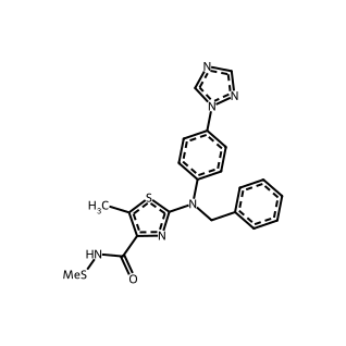 CSNC(=O)c1nc(N(Cc2ccccc2)c2ccc(-n3cncn3)cc2)sc1C